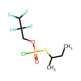 CCC(C)SP(=O)(Cl)OCC(F)(F)C(F)F